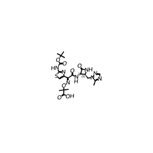 Cc1ncnn1C[C@@H]1NC(=O)[C@H]1NC(=O)C(=NOC(C)(C)C(=O)O)c1csc(NC(=O)OC(C)(C)C)n1